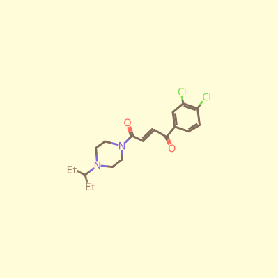 CCC(CC)N1CCN(C(=O)C=CC(=O)c2ccc(Cl)c(Cl)c2)CC1